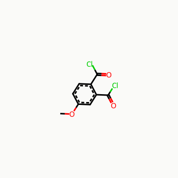 COc1ccc(C(=O)Cl)c(C(=O)Cl)c1